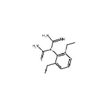 CCc1cccc(CC)c1N(C(=N)N)C(N)=S